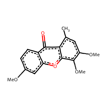 COc1ccc2c(=O)c3c(C)cc(OC)c(OC)c3oc2c1